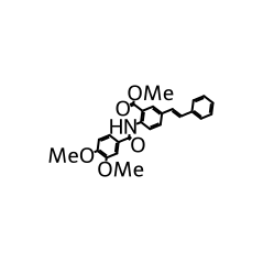 COC(=O)c1cc(C=Cc2ccccc2)ccc1NC(=O)c1ccc(OC)c(OC)c1